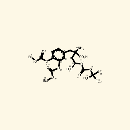 CCC(C)OC(=O)Oc1ccc(CC(N)(C[C@H](C)OC(=O)OC(C)(C)CC)C(=O)O)cc1OC(=O)OC(C)CC